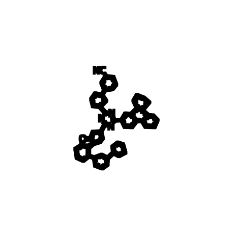 N#Cc1cccc(-c2cccc(-c3nc(-c4ccc5c(c4)oc4cccc(-c6cccc(-c7ccccc7)c6)c45)nc(-c4ccc5c6ccccc6c6ccccc6c5c4)n3)c2)c1